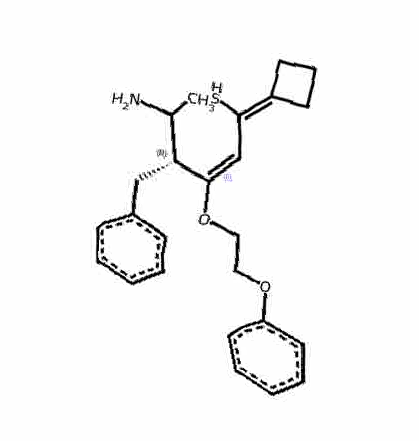 CC(N)[C@@H](Cc1ccccc1)/C(=C\C(S)=C1CCC1)OCCOc1ccccc1